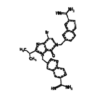 CC(C)c1nc2c(Br)cn(Cc3ccc4ccc(C(=N)N)cc4c3)c(=O)c2n1Cc1ccc2ccc(C(=N)N)cc2c1